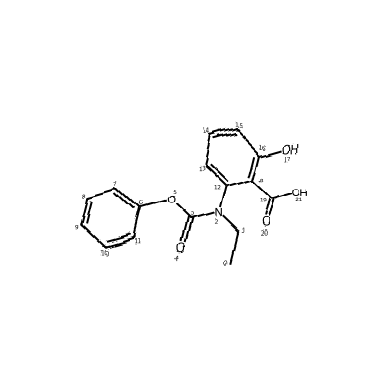 CCN(C(=O)Oc1ccccc1)c1cccc(O)c1C(=O)O